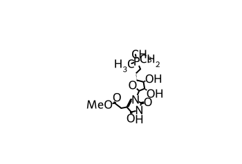 C=P(C)(C)CC[C@H]1OC(n2cc(CC(=O)OC)c(=O)[nH]c2=O)[C@H](O)[C@@H]1O